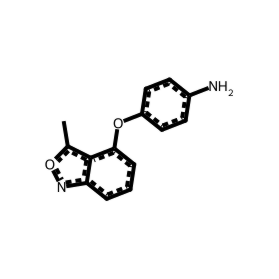 Cc1onc2cccc(Oc3ccc(N)cc3)c12